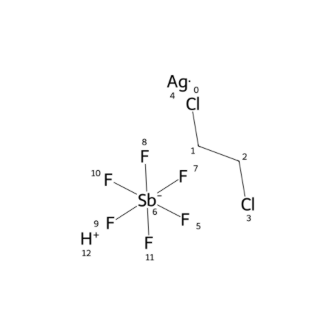 ClCCCl.[Ag].[F][Sb-]([F])([F])([F])([F])[F].[H+]